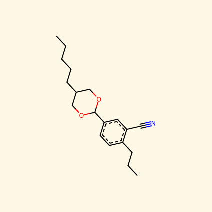 CCCCCC1COC(c2ccc(CCC)c(C#N)c2)OC1